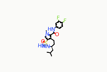 CC(C)C[C@@H]1CCc2c(cn(C)c2C(=O)Nc2ccc(F)c(F)c2)S(=N)(=O)N1